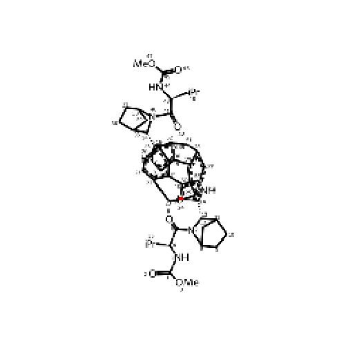 COC(=O)N[C@H](C(=O)N1C2CCC(C2)[C@H]1c1nc(-c2cc3ccc2CCc2ccc(c(-c4c[nH]c([C@@H]5C6CCC(C6)N5C(=O)[C@@H](NC(=O)OC)C(C)C)n4)c2)CC3)c[nH]1)C(C)C